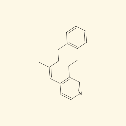 CCc1cnccc1/C=C(/C)CCc1ccccc1